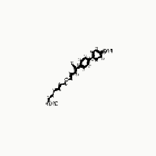 CCCCCCCCCCCCCCCCOCCCC(C)c1ccc(-c2ccc(O)cc2)cc1